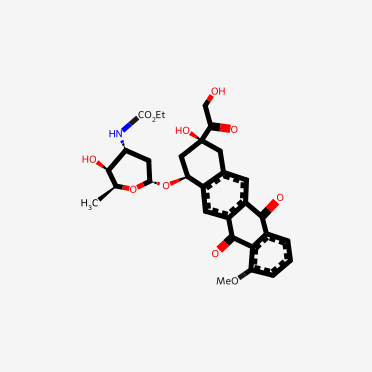 CCOC(=O)N[C@@H]1C[C@H](O[C@H]2C[C@](O)(C(=O)CO)Cc3cc4c(cc32)C(=O)c2c(OC)cccc2C4=O)O[C@@H](C)[C@H]1O